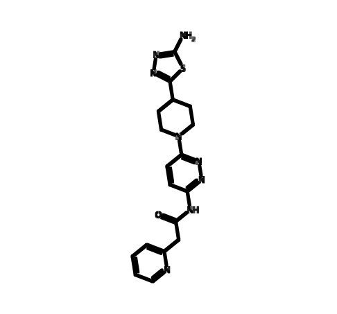 Nc1nnc(C2CCN(c3ccc(NC(=O)Cc4ccccn4)nn3)CC2)s1